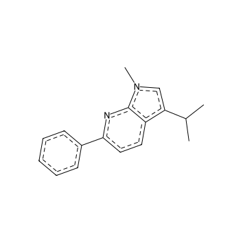 CC(C)c1cn(C)c2nc(-c3ccccc3)ccc12